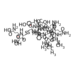 C=C(N[C@@H](CC(N)=O)C(=O)C(=O)[C@H](CC(C)C)NO)[C@H](CCSC)NC(=O)[C@H](CCC(N)=O)NC(=O)[C@H](CC(N)=O)NC(=O)[C@H](Cc1c[nH]c2ccccc12)NC(=O)[C@@H](NC(=O)[C@H](Cc1ccc(O)cc1)NC(=O)C(N)CSSCC(NC(=O)CCC(N)C(=O)O)C(=O)C(=O)CNO)[C@@H](C)O